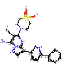 CC(=O)c1c(N2CCS(=O)(=O)CC2)nc2c(-c3ccc(-c4ccccc4)nc3)cnn2c1N